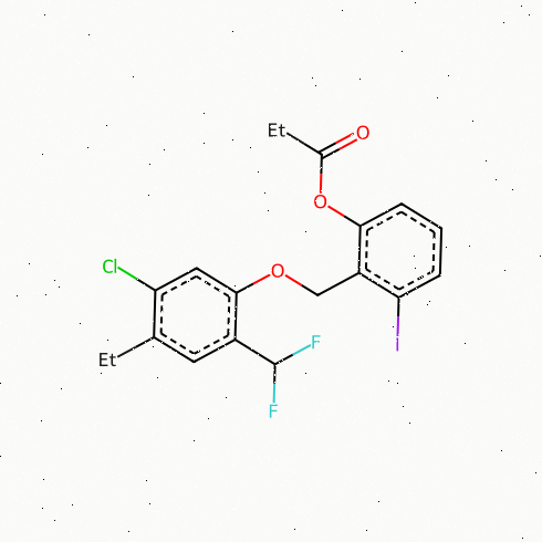 CCC(=O)Oc1cccc(I)c1COc1cc(Cl)c(CC)cc1C(F)F